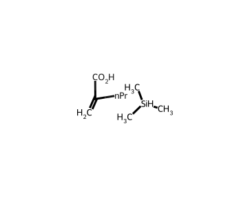 C=C(CCC)C(=O)O.C[SiH](C)C